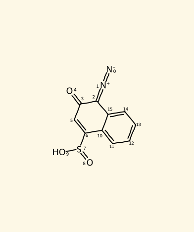 [N-]=[N+]=C1C(=O)C=C(S(=O)O)c2ccccc21